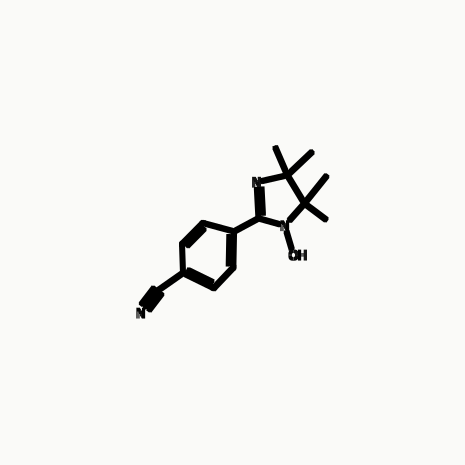 CC1(C)N=C(c2ccc(C#N)cc2)N(O)C1(C)C